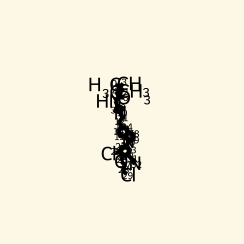 CC(C)(C)OC(=O)NC1CN(CCc2ccc3c(ccn3-c3cc(Cl)c(OCCCl)c(C#N)c3)c2)C1